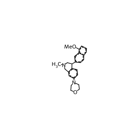 COc1cccc2ccc(C3CN(C)Cc4cc(N5CCOCC5)ccc43)cc12